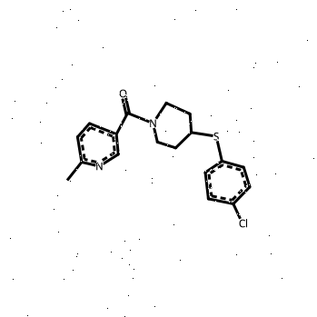 Cc1ccc(C(=O)N2CCC(Sc3ccc(Cl)cc3)CC2)cn1